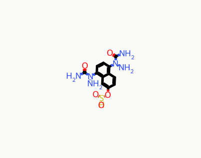 NC(=O)N(N)c1ccc(N(N)C(N)=O)c2cc(O[SH](=O)=O)ccc12